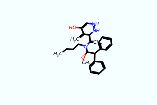 C=C1C(O)=CNNC1C(=C)N(CCCC)C(OC)C(c1ccccc1)c1ccccc1